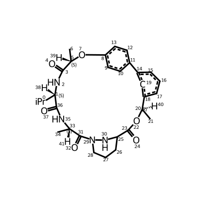 CC(C)[C@@H]1NC(=O)[C@H](C)Oc2ccc(cc2)-c2cccc(c2)[C@@H](C)OC(=O)C2CCCN(N2)C(=O)[C@H](C)NC1=O